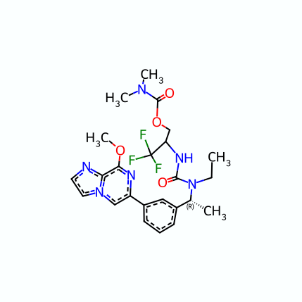 CCN(C(=O)NC(COC(=O)N(C)C)C(F)(F)F)[C@H](C)c1cccc(-c2cn3ccnc3c(OC)n2)c1